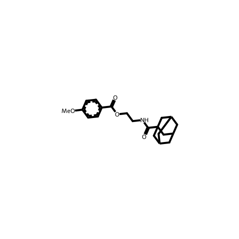 COc1ccc(C(=O)OCCNC(=O)C23CC4CC(CC(C4)C2)C3)cc1